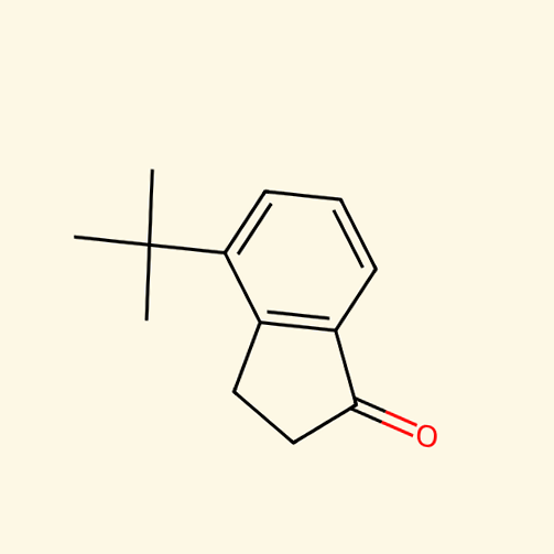 CC(C)(C)c1cccc2c1CCC2=O